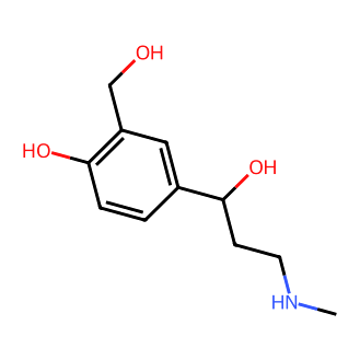 CNCCC(O)c1ccc(O)c(CO)c1